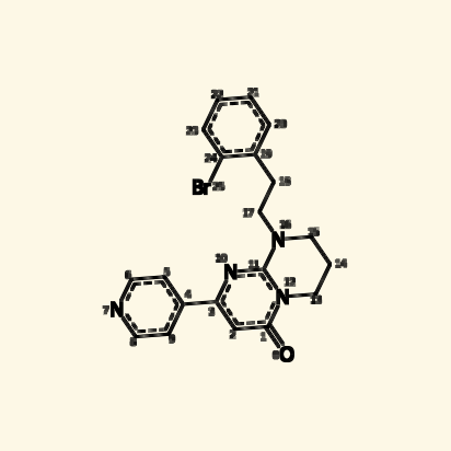 O=c1cc(-c2ccncc2)nc2n1CCCN2CCc1ccccc1Br